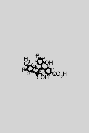 Cc1cc(-n2c(C3(CO)CC3)c(-c3ccc(C(=O)O)cc3)c3c(O)cc(F)cc32)ccc1F